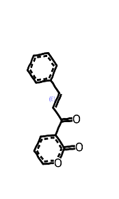 O=C(/C=C/c1ccccc1)c1cccoc1=O